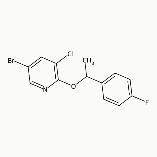 CC(Oc1ncc(Br)cc1Cl)c1ccc(F)cc1